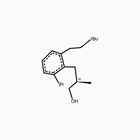 CC(C)c1cccc(CCC(C)(C)C)c1C[C@@H](C)CO